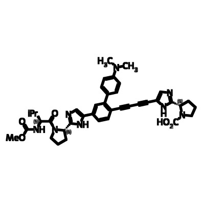 COC(=O)N[C@H](C(=O)N1CCC[C@H]1c1ncc(-c2ccc(C#CC#Cc3cnc([C@@H]4CCCN4C(=O)O)[nH]3)c(-c3ccc(N(C)C)cc3)c2)[nH]1)C(C)C